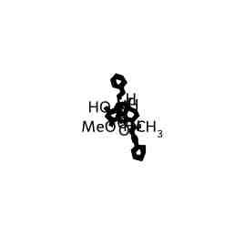 COc1cc(O)c2c3c1O[C@H]1[C@H](N(C)C(=O)C#Cc4ccccc4)CC[C@H]4[C@@H](C2)N(CCc2ccccc2)CC[C@@]341